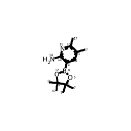 Cc1cc(B2OC(C)(C)C(C)(C)O2)c(N)nc1C